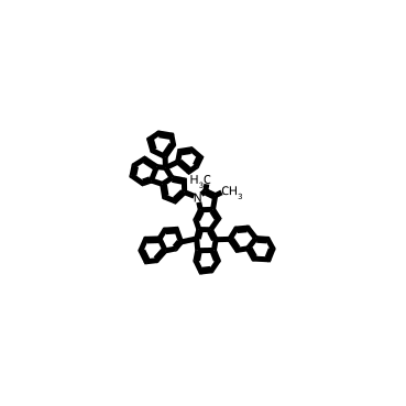 Cc1c(C)n(-c2ccc3c(c2)C(c2ccccc2)(c2ccccc2)c2ccccc2-3)c2cc3c(-c4ccc5ccccc5c4)c4ccccc4c(-c4ccc5ccccc5c4)c3cc12